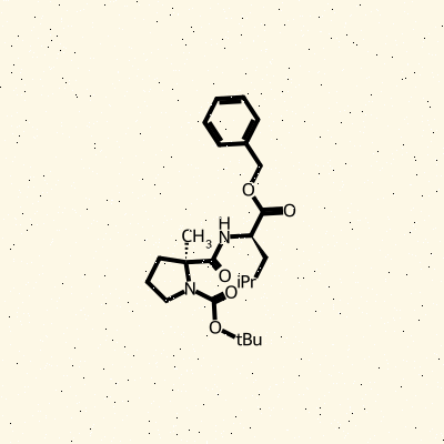 CC(C)C[C@@H](NC(=O)[C@]1(C)CCCN1C(=O)OC(C)(C)C)C(=O)OCc1ccccc1